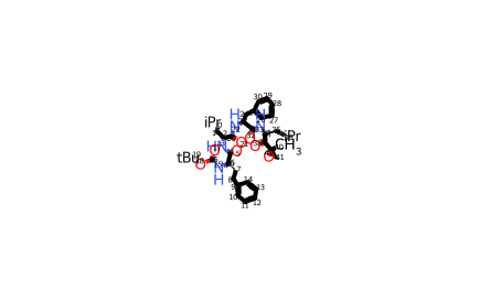 CC(C)CC(NC(=O)[C@H](CCc1ccccc1)NC(=O)OC(C)(C)C)C(=O)NC(Cc1ccccc1)C(=O)N[C@@H](CC(C)C)C(=O)C1(C)CO1